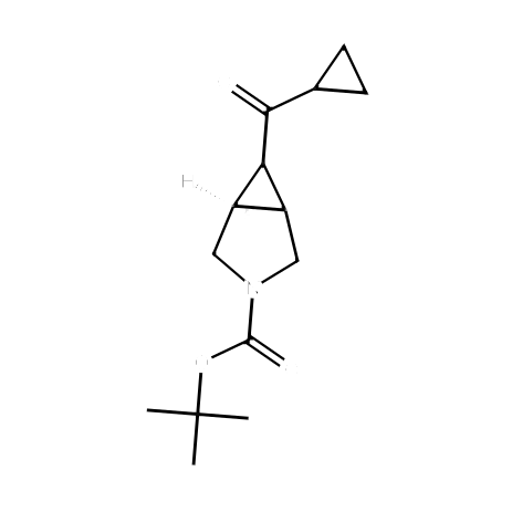 CC(C)(C)OC(=O)N1CC2C(C(=O)C3CC3)[C@@H]2C1